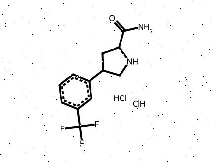 Cl.Cl.NC(=O)C1CC(c2cccc(C(F)(F)F)c2)CN1